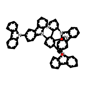 N#Cc1ccc(-n2c3ccccc3c3cc(-n4c5ccccc5c5ccccc54)ccc32)c(-c2ncccc2-n2c3ccccc3c3cc(-n4c5ccccc5c5ccccc54)ccc32)c1C#N